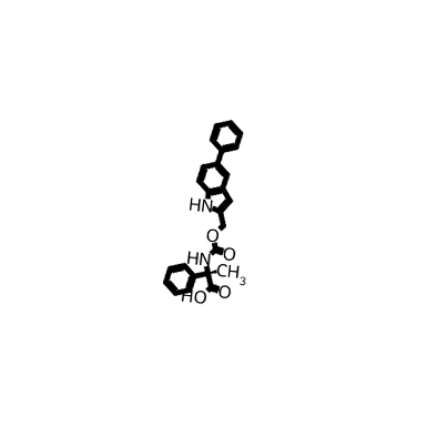 C[C@@](NC(=O)OCc1cc2cc(-c3ccccc3)ccc2[nH]1)(C(=O)O)c1ccccc1